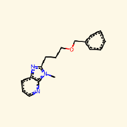 Cn1c(CCCOCc2ccccc2)nc2cccnc21